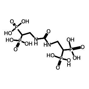 O=C(NCC(P(=O)(O)O)P(=O)(O)O)NCC(P(=O)(O)O)P(=O)(O)O